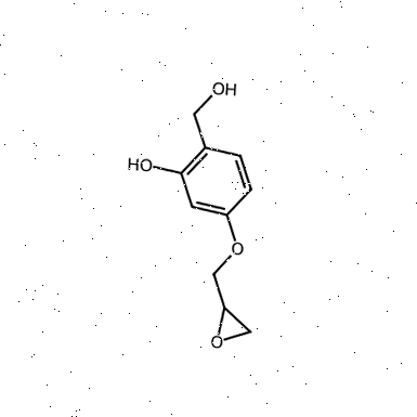 OCc1ccc(OCC2CO2)cc1O